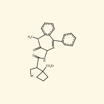 CCOC(=O)C1(C(CC(C)C)C(=O)NC2N=C(c3ccccc3)c3ccccc3N(C)C2=O)CCC1